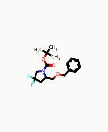 CC(C)(C)OC(=O)N1CC(F)(F)CC1COCc1ccccc1